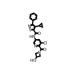 O=C(Nc1cnc(C(=O)N2CC(O)C2)c(Cl)c1)c1snc(-c2ccccc2)c1C1CC1